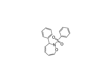 O=S(=O)(c1ccccc1)N1OC=CC=CC1c1ccccc1